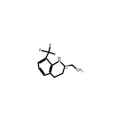 CC[C@H]1CCc2cccc(C(F)(F)F)c2N1